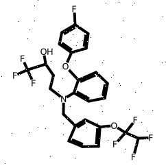 OC(CCN(Cc1cccc(OC(F)(F)C(F)F)c1)c1ccccc1Oc1ccc(F)cc1)C(F)(F)F